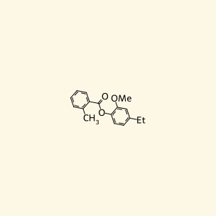 CCc1ccc(OC(=O)c2ccccc2C)c(OC)c1